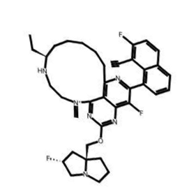 C#Cc1c(F)ccc2cccc(-c3nc4c5c(nc(OC[C@@]67CCCN6C[C@H](F)C7)nc5c3F)[N+](=C)CCN[C@@H](CC)CCCCC4)c12